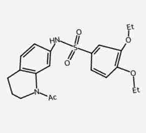 CCOc1ccc(S(=O)(=O)Nc2ccc3c(c2)N(C(C)=O)CCC3)cc1OCC